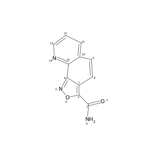 NC(=O)c1onc2c1ccc1cccnc12